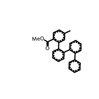 COC(=O)c1ccc(C)cc1-c1ccccc1-c1ccccc1-c1ccccc1